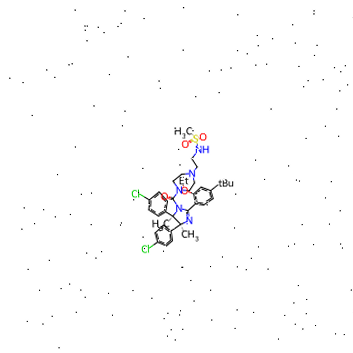 CCOc1cc(C(C)(C)C)ccc1C1=N[C@@](C)(c2ccc(Cl)cc2)[C@@](C)(c2ccc(Cl)cc2)N1C(=O)N1CCN(CCNS(C)(=O)=O)CC1